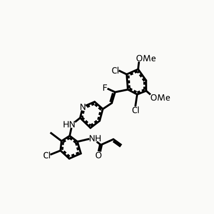 C=CC(=O)Nc1ccc(Cl)c(C)c1Nc1ccc(/C=C(\F)c2c(Cl)c(OC)cc(OC)c2Cl)cn1